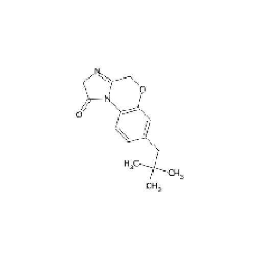 CC(C)(C)Cc1ccc2c(c1)OCC1=NCC(=O)N12